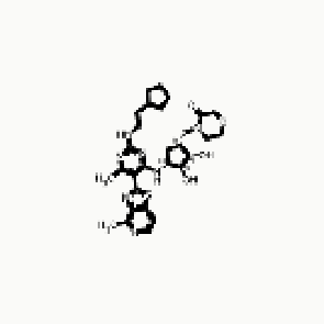 Cc1nc(NCCC2CCCC2)nc(N[C@@H]2C[C@H](CN3CCOCC3=O)[C@@H](O)[C@H]2O)c1-c1nc2c(C)nccc2s1